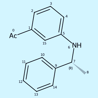 CC(=O)c1cccc(N[C@H](C)c2ccccc2)c1